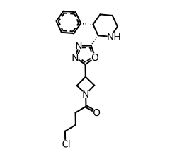 O=C(CCCCl)N1CC(c2nnc([C@H]3NCCC[C@H]3c3ccccc3)o2)C1